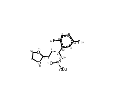 CC(C)(C)[S@@+]([O-])N[C@H](CCC1OCCO1)c1cc(F)ccc1F